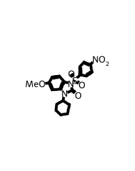 COc1ccc2c(c1)n(C1CCCCC1)c(=O)n2S(=O)(=O)c1ccc([N+](=O)[O-])cc1